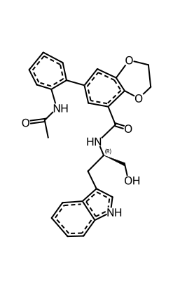 CC(=O)Nc1ccccc1-c1cc2c(c(C(=O)N[C@@H](CO)Cc3c[nH]c4ccccc34)c1)OCCO2